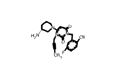 CC#CCn1c(N2CCC[C@@H](N)C2)cc(=O)n(Cc2cc(F)ccc2C#N)c1=O